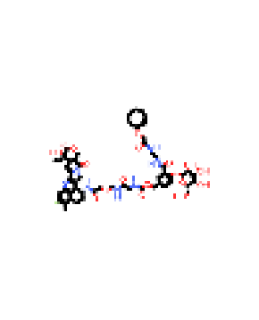 CC[C@@]1(O)C(=O)OCc2c1cc1n(c2=O)Cc2c-1nc1cc(F)c(C)c3c1c2[C@@H](NC(=O)COCNC(=O)CNC(=O)OCc1ccc(O[C@@H]2O[C@H](CO)[C@@H](O)[C@H](O)[C@H]2O)c(C(=O)NCCNC(=O)COC2C#CCCCCC2)c1)CC3